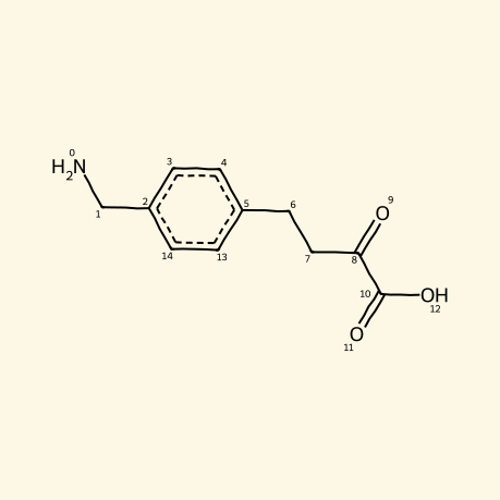 NCc1ccc(CCC(=O)C(=O)O)cc1